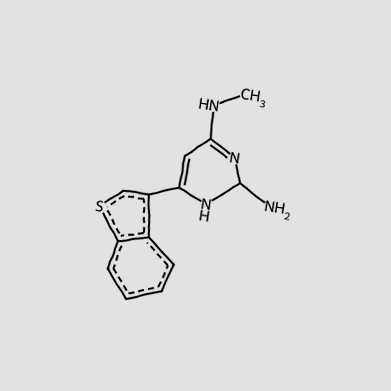 CNC1=NC(N)NC(c2csc3ccccc23)=C1